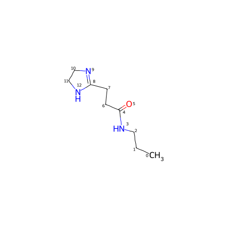 CCCNC(=O)CCC1=NCCN1